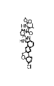 COC(=O)N[C@H](C(=O)N1[C@@H](C)CC[C@H]1c1nc2ccc3cc4c(cc3c2[nH]1)COc1cc(Cl)ccc1-4)C(C)C